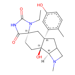 CCN1C(=O)NC(=O)[C@@]12CC[C@@]1(O)[C@H]3C(CN3C)C[C@]1(c1cc(O)ccc1C)C2